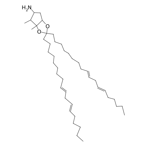 CCCCCC=CCC=CCCCCCCCCC1(CCCCCCCCC=CCC=CCCCCC)OC2CC(N)C(C)C2(C)O1